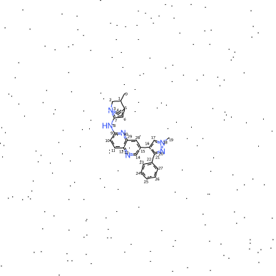 CC1Cn2cc1cc2Nc1ccc2ncc(-c3cn(C)nc3-c3ccccc3)cc2n1